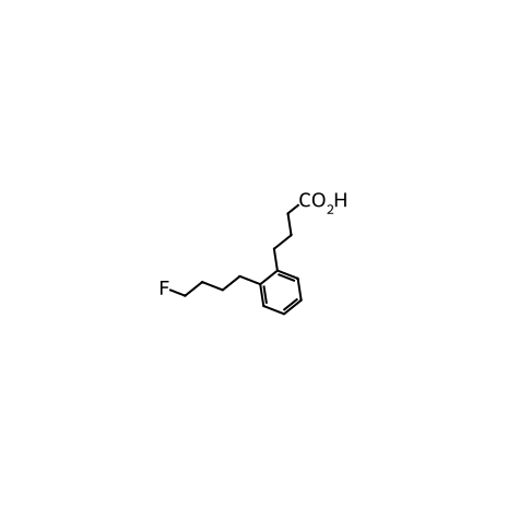 O=C(O)CCCc1ccccc1CCCCF